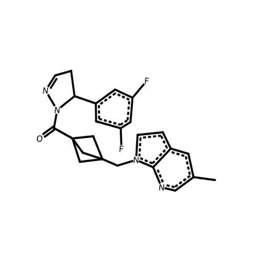 Cc1cnc2c(ccn2CC23CC(C(=O)N4N=CCC4c4cc(F)cc(F)c4)(C2)C3)c1